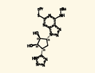 CCCCNc1nc(SCCC)nc2c1nnn2[C@@H]1C[C@H](c2nnn[nH]2)[C@@H](O)[C@H]1O